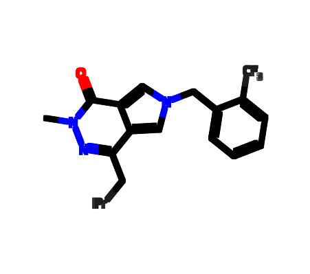 CC(C)Cc1nn(C)c(=O)c2cn(Cc3ccccc3C(F)(F)F)cc12